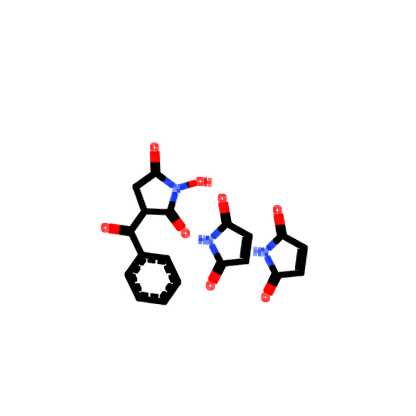 O=C(c1ccccc1)C1CC(=O)N(O)C1=O.O=C1C=CC(=O)N1.O=C1C=CC(=O)N1